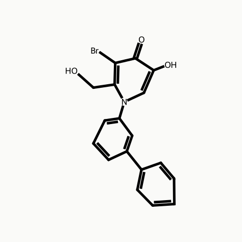 O=c1c(O)cn(-c2cccc(-c3ccccc3)c2)c(CO)c1Br